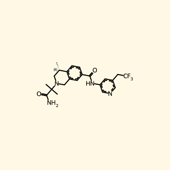 C[C@H]1CN(C(C)(C)C(N)=O)Cc2cc(C(=O)Nc3cncc(CC(F)(F)F)c3)ccc21